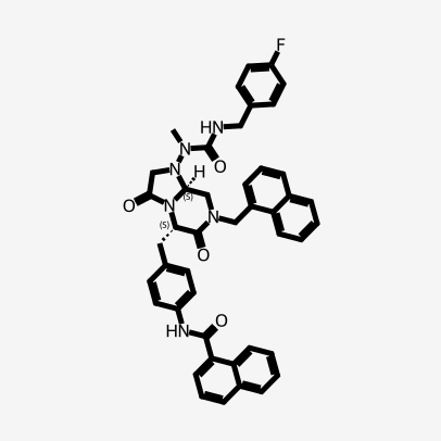 CN(C(=O)NCc1ccc(F)cc1)N1CC(=O)N2[C@@H](Cc3ccc(NC(=O)c4cccc5ccccc45)cc3)C(=O)N(Cc3cccc4ccccc34)C[C@@H]21